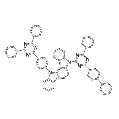 c1ccc(-c2ccc(-c3nc(-c4ccccc4)nc(-n4c5ccccc5c5c4ccc4c6ccccc6n(-c6ccc(-c7nc(-c8ccccc8)nc(-c8ccccc8)n7)cc6)c45)n3)cc2)cc1